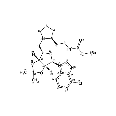 CC(C)(C)OC(=O)NCC[C@@H]1CCCN1C[C@H]1O[C@@H](n2cnc3c(Cl)ncnc32)[C@@H]2OC(C)(C)O[C@@H]21